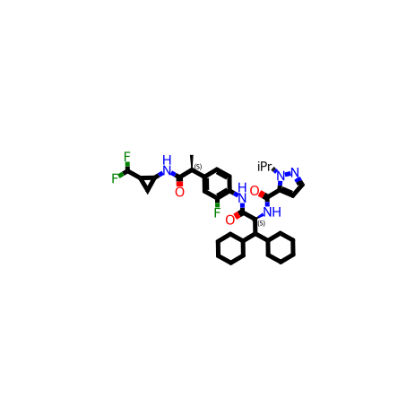 CC(C)n1nccc1C(=O)N[C@H](C(=O)Nc1ccc([C@H](C)C(=O)NC2CC2C(F)F)cc1F)C(C1CCCCC1)C1CCCCC1